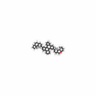 c1cnc2c(c1)ccc1ccc(-c3ccc4c5ccccc5c5c6cc(-c7ccc8ccc9cccnc9c8n7)ccc6c6ccccc6c5c4c3)nc12